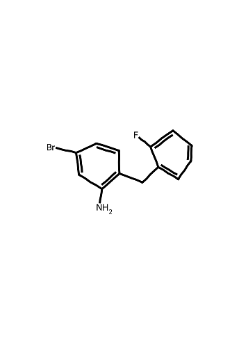 Nc1cc(Br)ccc1Cc1ccccc1F